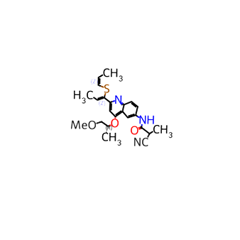 C/C=C\S/C(=C\C)c1cc(O[C@H](C)COC)c2cc(NC(=O)C(C)C#N)ccc2n1